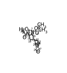 CC(C)OC(=O)N1C[C@H](C)N(C(=O)C2CC2)c2ccc(-c3cnn(C4COC4)c3)cc21